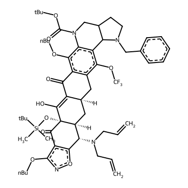 C=CCN(CC=C)[C@@H]1c2onc(OCCCC)c2C(=O)[C@@]2(O[Si](C)(C)C(C)(C)C)C(O)=C3C(=O)c4c(c(OC(F)(F)F)c5c(c4OCCCC)N(C(=O)OC(C)(C)C)CC4CCN(Cc6ccccc6)C54)C[C@H]3C[C@@H]12